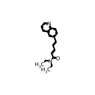 CCN(CC)C(=O)C=CC=Cc1ccc2ncccc2c1